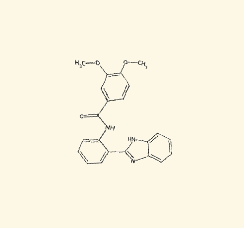 COc1ccc(C(=O)Nc2ccccc2-c2nc3ccccc3[nH]2)cc1OC